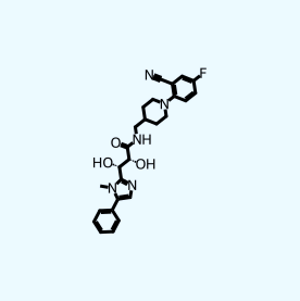 Cn1c(-c2ccccc2)cnc1[C@H](O)[C@@H](O)C(=O)NCC1CCN(c2ccc(F)cc2C#N)CC1